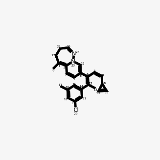 CC1=C2C=CC(C(/C=C\C3C=C3)=C(/C)c3cc(C)cc(Cl)c3)=CN2N=CCC1